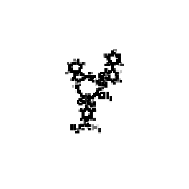 C=C1CN(S(=O)(=O)c2ccc(N(C)C)cc2)CCCN(CC2CCCCC2)CCCN(S(=O)(=O)N2CCC[C@H](c3ccccc3)C2)C1